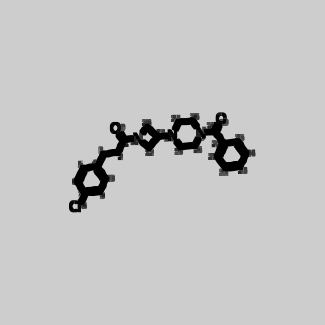 O=C(CCc1ccc(Cl)cc1)N1CC(N2CCN(C(=O)c3ccccc3)CC2)C1